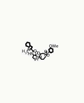 COc1cccc(S(=O)(=O)N2CCC[C@H](NC(=O)C(CC(C)C)NC(=O)c3cc4ccccc4n3C)C(=O)C2)c1